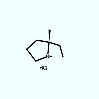 CC[C@@]1(C)CCCN1.Cl